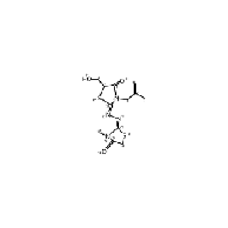 C=C(C)CN1C(=O)C(CO)S/C1=N/N=C1/SCC(=O)N1C